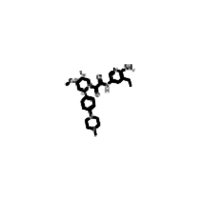 CCc1cc(NC(=O)C(=O)N2C[C@@H](C)[C@@H](OC)C[C@@H]2c2ccc(N3CCN(C)CC3)cc2)cnc1N